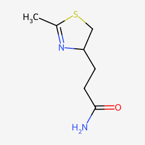 CC1=NC(CCC(N)=O)CS1